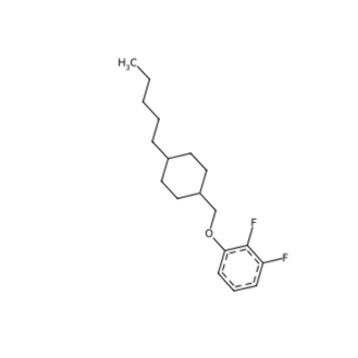 CCCCCC1CCC(COc2cccc(F)c2F)CC1